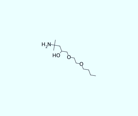 CCCCOCCOCC(O)CC(C)(C)N